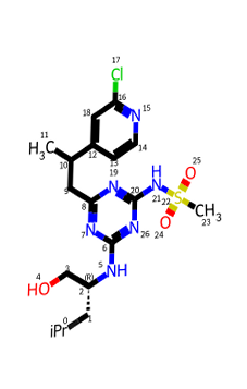 CC(C)C[C@H](CO)Nc1nc(CC(C)c2ccnc(Cl)c2)nc(NS(C)(=O)=O)n1